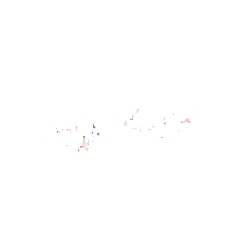 CCN1C(=O)Cc2cc(N3CC(CNC(=O)OC(C)(C)C)OC3=O)ccc21